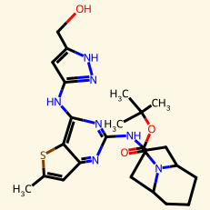 Cc1cc2nc(NC3CC4CCCC(C3)N4C(=O)OC(C)(C)C)nc(Nc3cc(CO)[nH]n3)c2s1